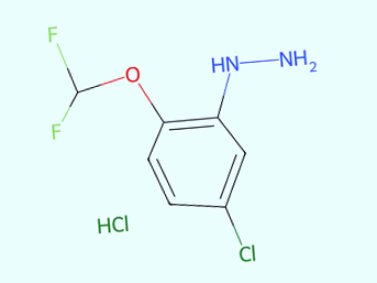 Cl.NNc1cc(Cl)ccc1OC(F)F